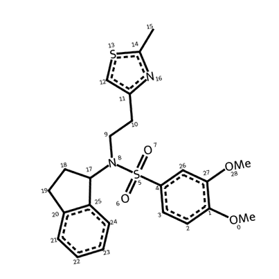 COc1ccc(S(=O)(=O)N(CCc2csc(C)n2)C2CCc3ccccc32)cc1OC